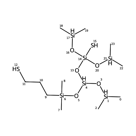 C[SiH](C)O[SiH](O[Si](C)(C)CCCS)O[Si](S)(O[SiH](C)C)O[SiH](C)C